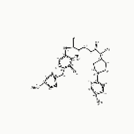 CCN(C(=O)COCC(C)Nc1cnn(Cc2ccc(OC)cc2)c(=O)c1C(F)(F)F)C1CCN(c2ncc(C(F)(F)F)cn2)CC1